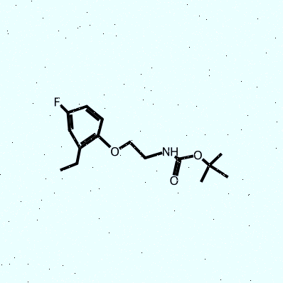 CCc1cc(F)ccc1OCCNC(=O)OC(C)(C)C